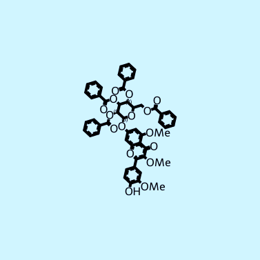 COc1cc(-c2oc3cc(O[C@@H]4OC(COC(=O)c5ccccc5)[C@@H](OC(=O)c5ccccc5)C(OC(=O)c5ccccc5)[C@@H]4OC(=O)c4ccccc4)cc(OC)c3c(=O)c2OC)ccc1O